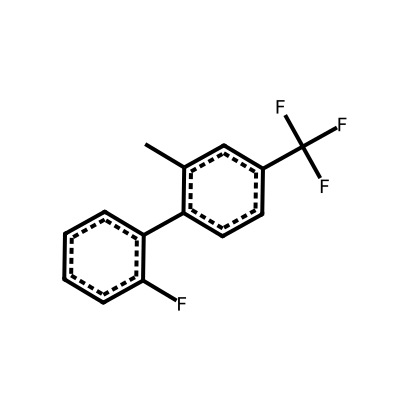 Cc1cc(C(F)(F)F)ccc1-c1ccccc1F